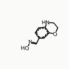 ON=Cc1ccc2c(c1)OCCN2